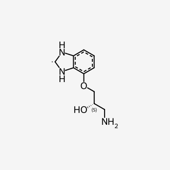 NC[C@H](O)COc1cccc2c1N[CH]N2